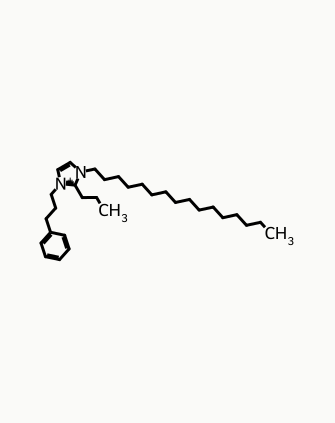 CCCCCCCCCCCCCCCCn1cc[n+](CCCc2ccccc2)c1CCC